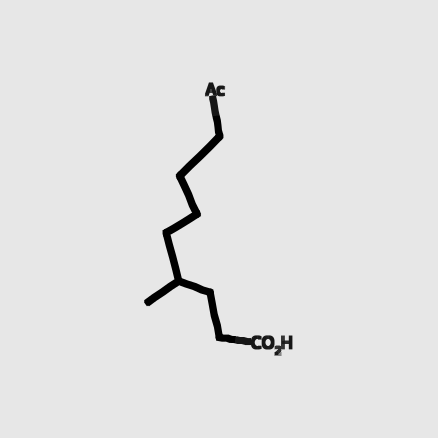 CC(=O)CCCCC(C)CCC(=O)O